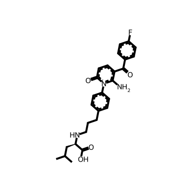 CC(C)C[C@@H](NCCCc1ccc(-n2c(N)c(C(=O)c3ccc(F)cc3)ccc2=O)cc1)C(=O)O